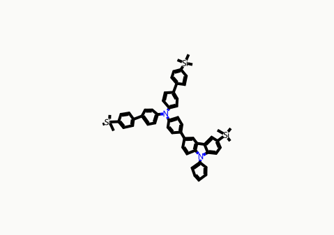 C[Si](C)(C)c1ccc(-c2ccc(N(c3ccc(-c4ccc([Si](C)(C)C)cc4)cc3)c3ccc(-c4ccc5c(c4)c4cc([Si](C)(C)C)ccc4n5-c4ccccc4)cc3)cc2)cc1